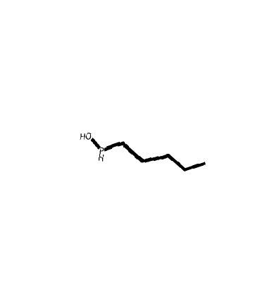 CCCCCPO